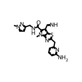 Cn1ccc(CNC(=O)c2c(C=N)c3sc(Cc4cccc(N)n4)nc3n2C)n1